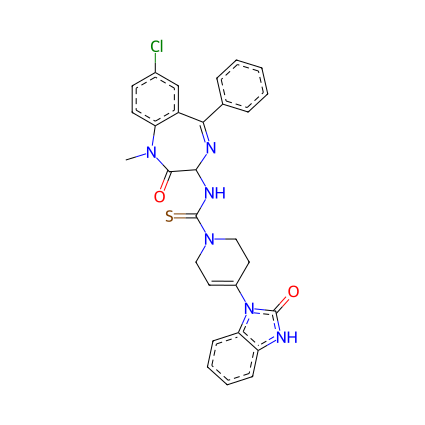 CN1C(=O)C(NC(=S)N2CC=C(n3c(=O)[nH]c4ccccc43)CC2)N=C(c2ccccc2)c2cc(Cl)ccc21